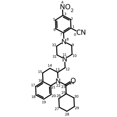 N#Cc1cc([N+](=O)[O-])ccc1N1CCN(CC2CCc3ccccc3N2C(=O)C2CCCCC2)CC1